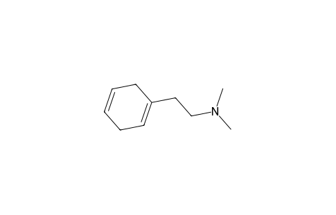 CN(C)CCC1=CCC=CC1